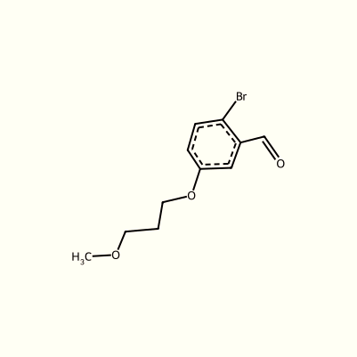 COCCCOc1ccc(Br)c(C=O)c1